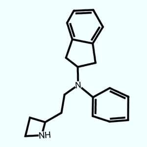 c1ccc(N(CCC2CCN2)C2Cc3ccccc3C2)cc1